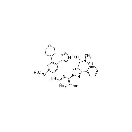 COc1cc(N2CCOCC2)c(-c2cnn(C)c2)cc1Nc1ncc(Br)c(-n2cc(CN(C)C)c(-c3ccccc3)n2)n1